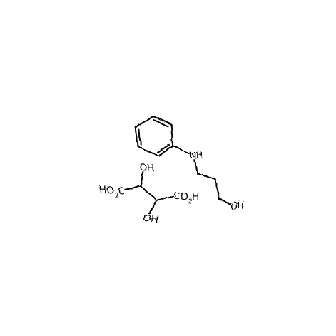 O=C(O)C(O)C(O)C(=O)O.OCCCNc1ccccc1